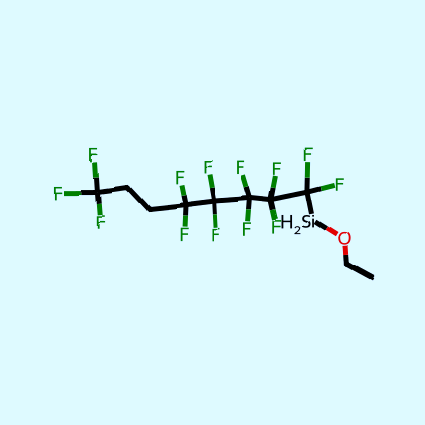 CCO[SiH2]C(F)(F)C(F)(F)C(F)(F)C(F)(F)C(F)(F)CCC(F)(F)F